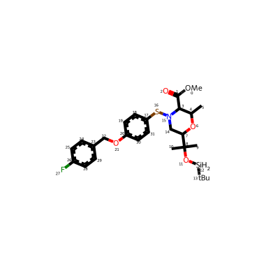 COC(=O)C1C(C)OC(C(C)(C)O[SiH2]C(C)(C)C)CN1Sc1ccc(OCc2ccc(F)cc2)cc1